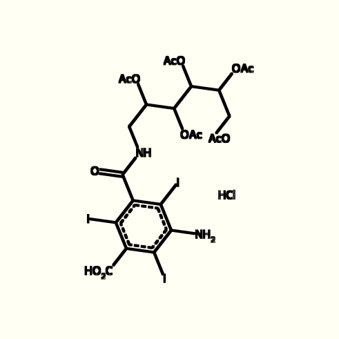 CC(=O)OCC(OC(C)=O)C(OC(C)=O)C(OC(C)=O)C(CNC(=O)c1c(I)c(N)c(I)c(C(=O)O)c1I)OC(C)=O.Cl